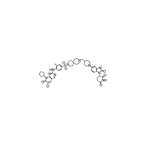 Cc1cc(S(=O)(=O)N2CCC3(CCN(CC4CCN(c5ccc6c(c5)n(C)c(=O)n6C5CCC(=O)NC5=O)CC4)CC3)CC2)ccc1Nc1ncc2cc(Cl)c(=O)n(C3CCCC3)c2n1